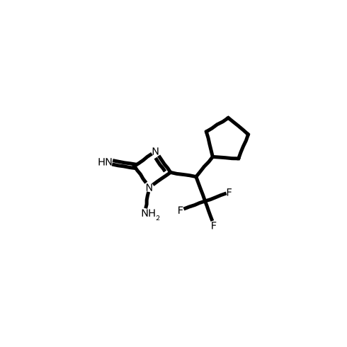 N=C1N=C(C(C2CCCC2)C(F)(F)F)N1N